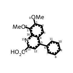 COc1ccc2c(-c3ccccc3)cc(C(=O)O)nc2c1OC